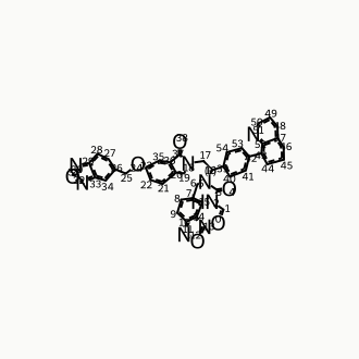 O=CNC(=O)N(Cc1ccc2nonc2c1)[C@@H](CN1Cc2ccc(OCc3ccc4nonc4c3)cc2C1=O)c1ccc(-c2cccc3cccnc23)cc1